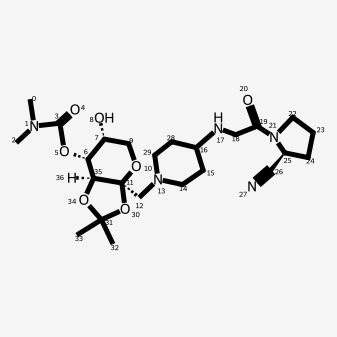 CN(C)C(=O)O[C@@H]1[C@H](O)CO[C@@]2(CN3CCC(NCC(=O)N4CCC[C@H]4C#N)CC3)OC(C)(C)O[C@@H]12